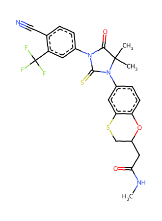 CNC(=O)CC1CSc2cc(N3C(=S)N(c4ccc(C#N)c(C(F)(F)F)c4)C(=O)C3(C)C)ccc2O1